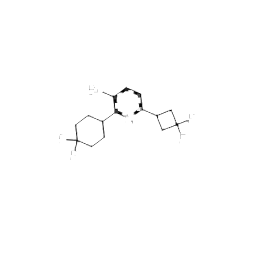 FC1(F)CCC(c2nc(C3CC(F)(F)C3)ccc2Br)CC1